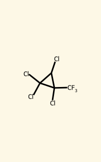 FC(F)(F)C1(Cl)C(Cl)C1(Cl)Cl